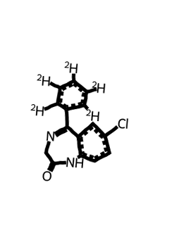 [2H]c1c([2H])c([2H])c(C2=NCC(=O)Nc3ccc(Cl)cc32)c([2H])c1[2H]